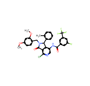 COc1ccc(CN2C(=O)c3c(Cl)ncc(NC(=O)c4cc(F)cc(C(F)(F)F)c4)c3C2c2ccccc2C)c(OC)c1